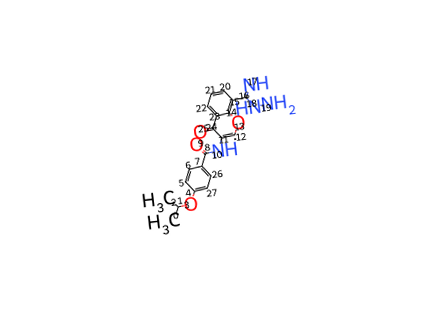 CC(C)Oc1ccc(C(=O)Nc2[c]oc3c(C(=N)NN)cccc3c2=O)cc1